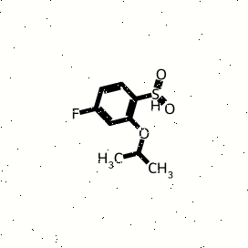 CC(C)Oc1cc(F)ccc1[SH](=O)=O